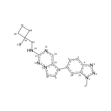 Cn1nnc2ccc(-c3ccn4nc(NCC5(F)CCC5)ncc34)cc21